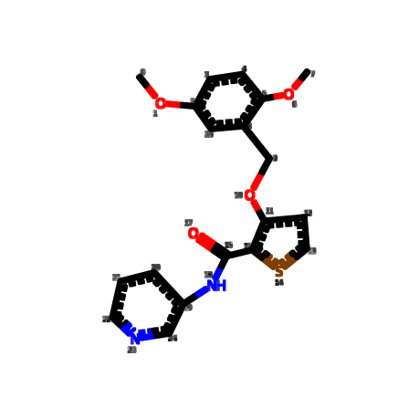 COc1ccc(OC)c(COc2ccsc2C(=O)Nc2cccnc2)c1